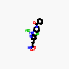 Cl.O=C(/C=C/c1cnc(NC2CCCN(C(=O)C3CCCCC3)C2)c(Cl)c1)NO